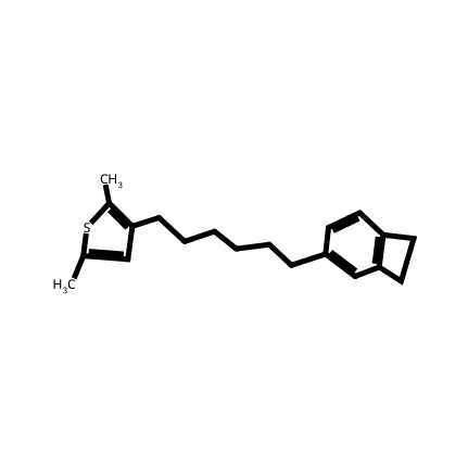 Cc1cc(CCCCCCc2ccc3c(c2)CC3)c(C)s1